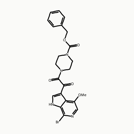 COc1cnc(Br)c2[nH]cc(C(=O)C(=O)N3CCN(C(=O)OCc4ccccc4)CC3)c12